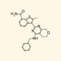 Cc1sc2c(C(N)=O)cccc2c1-c1nc2c(c(NCc3ccccc3)n1)CCOC2